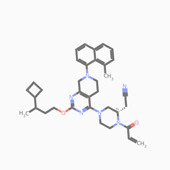 C=CC(=O)N1CCN(c2nc(OCCC(C)C3CCC3)nc3c2CCN(c2cccc4cccc(C)c24)C3)C[C@@H]1CC#N